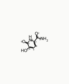 NC(=O)c1ccc(O)c(=O)[nH]1